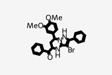 COc1ccc(C2CC(C(=O)c3ccccc3)NC3C(Br)=C(c4ccccc4)NN32)cc1OC